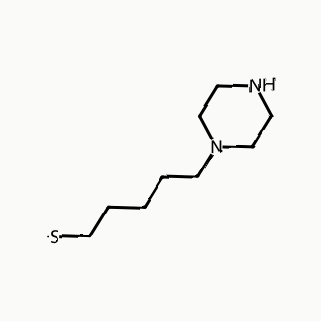 [S]CCCCCN1CCNCC1